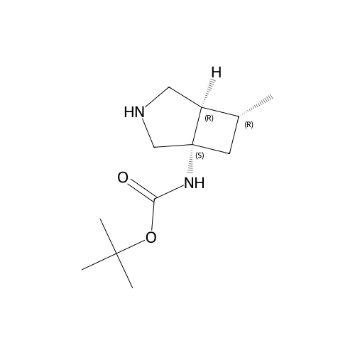 C[C@@H]1C[C@@]2(NC(=O)OC(C)(C)C)CNC[C@@H]12